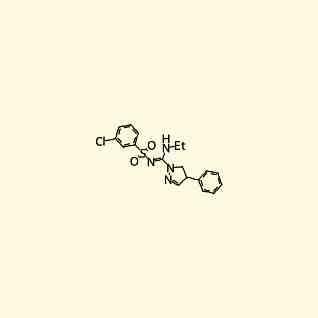 CCN/C(=N\S(=O)(=O)c1cccc(Cl)c1)N1CC(c2ccccc2)C=N1